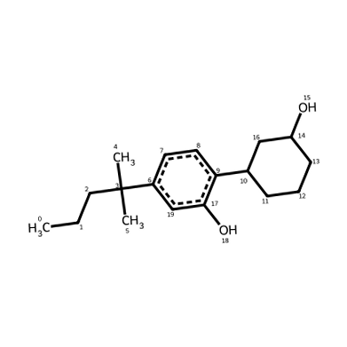 CCCC(C)(C)c1ccc(C2CCCC(O)C2)c(O)c1